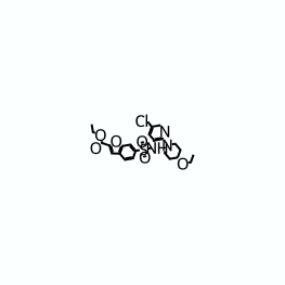 CCOC(=O)c1cc2ccc(S(=O)(=O)Nc3cc(Cl)cnc3N3CCC(OCC)CC3)cc2o1